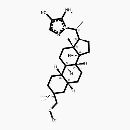 CCOC[C@@]1(O)CC[C@H]2[C@H](CC[C@@H]3[C@@H]2CC[C@]2(C)[C@@H]([C@@H](C)n4ncc(C#N)c4N)CC[C@@H]32)C1